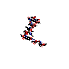 CC(C)(C)OC(=O)CCN=C=S.CCCC(N=C=O)C(=S)OCC.CCOC(=O)C(C)N=C=O.CCOC(=O)C(CC(C)C)N=C=O.CCOC(=O)C(Cc1ccccc1)N=C=O.CCOC(=O)C(N=C=O)C(C)C.CCOC(=O)CCCCCN=C=O.CCOC(=O)CCN=C=O